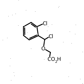 O=C(O)COC(Cl)c1ccccc1Cl